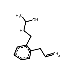 C=CCc1ccccc1CNC(C)O